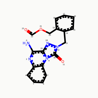 Nc1nc2ccccc2n2c(=O)n(Cc3ccccc3COC=O)nc12